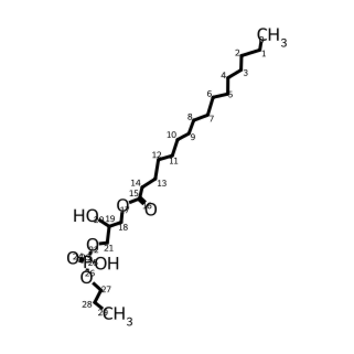 CCCCCCCCCCCCCCCC(=O)OCC(O)COP(=O)(O)OCCC